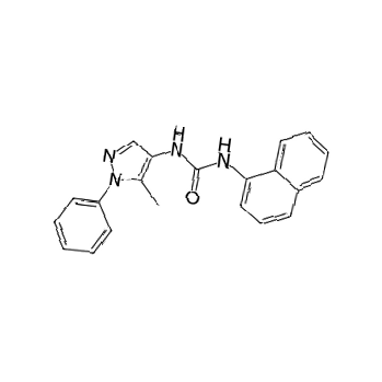 Cc1c(NC(=O)Nc2cccc3ccccc23)cnn1-c1ccccc1